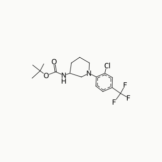 CC(C)(C)OC(=O)NC1CCCN(c2ccc(C(F)(F)F)cc2Cl)C1